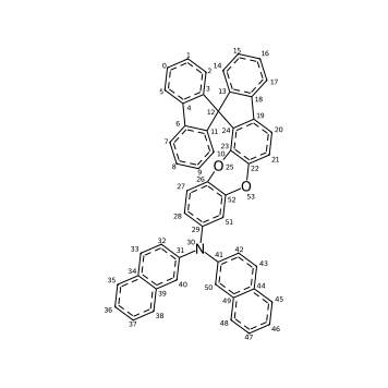 c1ccc2c(c1)-c1ccccc1C21c2ccccc2-c2ccc3c(c21)Oc1ccc(N(c2ccc4ccccc4c2)c2ccc4ccccc4c2)cc1O3